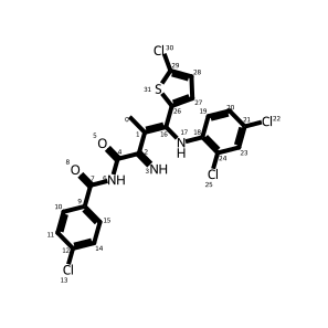 C/C(C(=N)C(=O)NC(=O)c1ccc(Cl)cc1)=C(/Nc1ccc(Cl)cc1Cl)c1ccc(Cl)s1